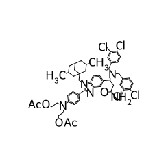 CC(=O)OCCN(CCOC(C)=O)c1ccc(-c2nc3cc(C(CC(N)=O)N(Cc4ccc(Cl)c(Cl)c4)Cc4ccc(Cl)c(Cl)c4)ccc3n2CC23CC(C)CC(CC(C)C2)C3)cc1